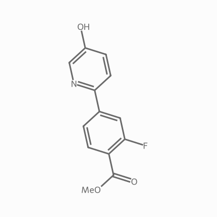 COC(=O)c1ccc(-c2ccc(O)cn2)cc1F